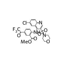 COC(=O)c1cc(C(=O)C(F)(F)F)ccc1Nc1c(S(=O)(=O)N2CCOCC2)cnc2ccc(Cl)cc12